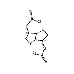 O=C(Cl)O[C@@H]1COC2C1OC[C@H]2OC(=O)Cl